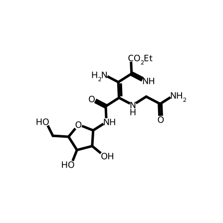 CCOC(=O)C(=N)/C(N)=C(\NCC(N)=O)C(=O)NC1OC(CO)C(O)C1O